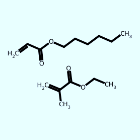 C=C(C)C(=O)OCC.C=CC(=O)OCCCCCC